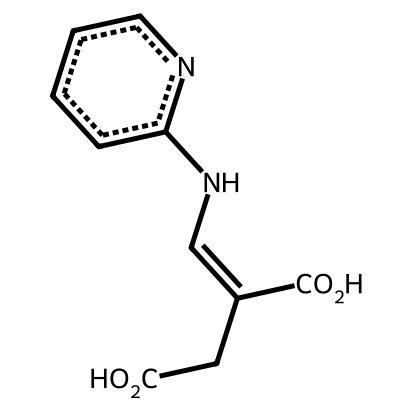 O=C(O)C/C(=C/Nc1ccccn1)C(=O)O